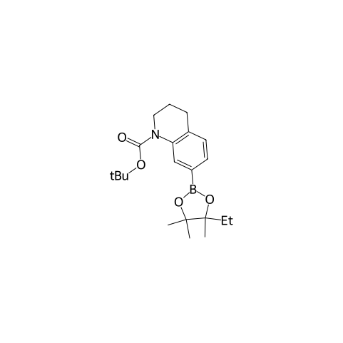 CCC1(C)OB(c2ccc3c(c2)N(C(=O)OC(C)(C)C)CCC3)OC1(C)C